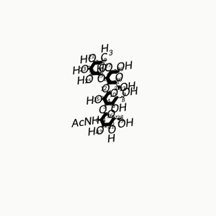 CC(=O)N[C@H]1[C@H](O[C@H]2[C@@H](O)[C@@H](CO)O[C@@H](O[C@H]3[C@H](O[C@@H]4O[C@@H](C)[C@@H](O)[C@@H](O)[C@@H]4O)[C@@H](O)C(O)O[C@@H]3CO)[C@@H]2O)O[C@H](CO)[C@@H](O)[C@@H]1O